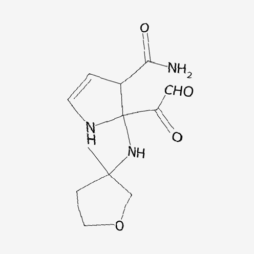 CC1(NC2(C(=O)C=O)NC=CC2C(N)=O)CCOC1